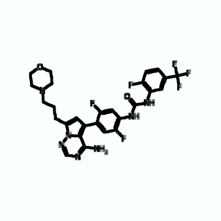 Nc1ncnn2c(CCCN3CCOCC3)cc(-c3cc(F)c(NC(=O)Nc4cc(C(F)(F)F)ccc4F)cc3F)c12